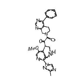 COc1cnc(-n2cnc(C)n2)c2c1C(C(=O)C(=O)N1CCc3c(ncnc3-c3ccccc3)C1)CN2